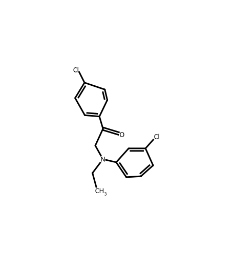 CCN(CC(=O)c1ccc(Cl)cc1)c1cccc(Cl)c1